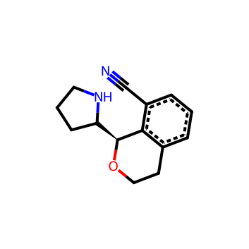 N#Cc1cccc2c1[C@H](C1CCCN1)OCC2